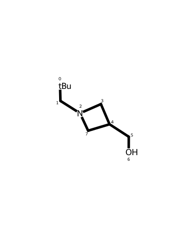 CC(C)(C)CN1CC(CO)C1